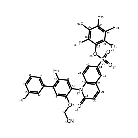 N#CCOc1cc(-c2cccc(F)c2)c(F)cc1-n1c(=O)ccc2cc(S(=O)(=O)Oc3c(F)c(F)c(F)c(F)c3F)ccc21